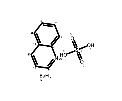 O=S(=O)(O)O.[BaH2].c1ccc2ncccc2c1